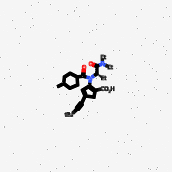 CC[C@@H](C(=O)N(CC)CC)N(C(=O)C1CCC(C)CC1)C1=C(C(=O)O)CC(C#CC(C)(C)C)=C1